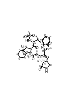 CC(C)[C@H](NS(C)(=O)=O)C(=O)N1C[C@@H]2CCCC[C@@H]2[C@H]1C(=O)N[C@@H](C[C@@H]1CCNC1=O)C(=O)c1nc2ccccc2s1